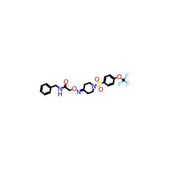 O=C(CON=C1CCN(S(=O)(=O)c2ccc(OC(F)(F)F)cc2)CC1)NCc1ccccc1